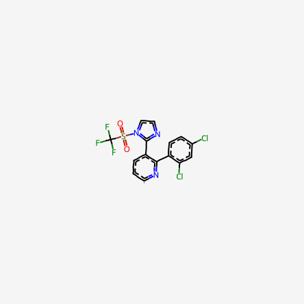 O=S(=O)(n1ccnc1-c1cc[c]nc1-c1ccc(Cl)cc1Cl)C(F)(F)F